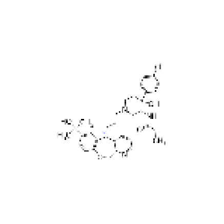 CCC(=O)NC1CN(CC/C=C2/c3cc(C(C)(C)O)ccc3OCC3N=CC=CC23)CCC1(O)c1ccc(Cl)cc1